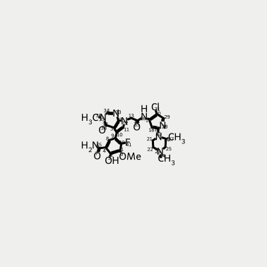 COc1c(O)c(C(N)=O)cc(-c2cn(CC(=O)Nc3cc(N4CCN(C)C[C@@H]4C)ncc3Cl)c3ncn(C)c(=O)c23)c1F